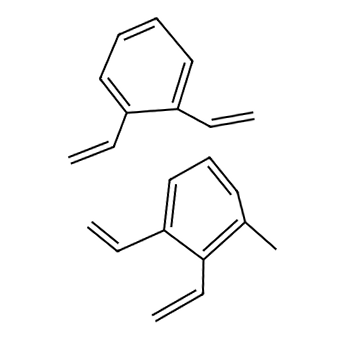 C=Cc1cccc(C)c1C=C.C=Cc1ccccc1C=C